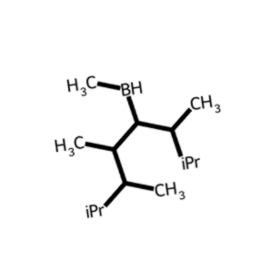 CBC(C(C)C(C)C)C(C)C(C)C(C)C